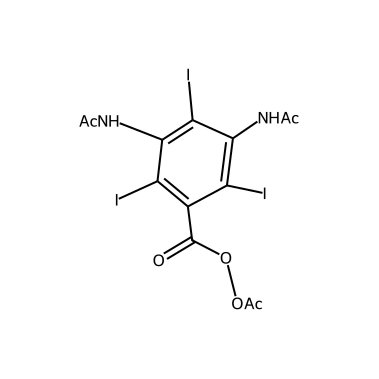 CC(=O)Nc1c(I)c(NC(C)=O)c(I)c(C(=O)OOC(C)=O)c1I